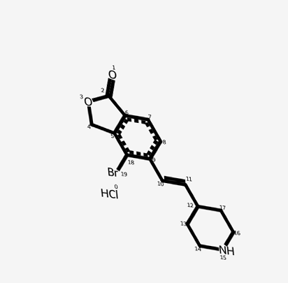 Cl.O=C1OCc2c1ccc(/C=C/C1CCNCC1)c2Br